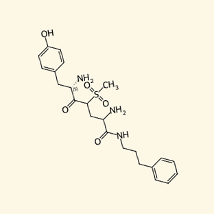 CS(=O)(=O)C(CC(N)C(=O)NCCCc1ccccc1)C(=O)[C@@H](N)Cc1ccc(O)cc1